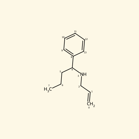 C=CCNC(CCC)c1ccccc1